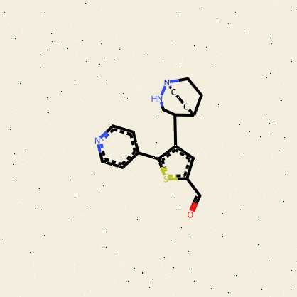 O=Cc1cc(C2CNN3CCC2CC3)c(-c2ccncc2)s1